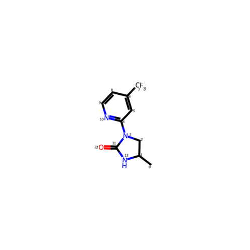 CC1CN(c2cc(C(F)(F)F)ccn2)C(=O)N1